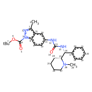 Cc1nn(C(=O)OC(C)(C)C)c2ccc(NC(=O)N[C@H](c3ccccc3)[C@H]3CCCCN3C)cc12